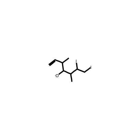 C=CC(C)C([O])C(C)C(I)CI